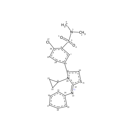 CN(C)S(=O)(=O)c1cc(-c2cs/c(=N/c3ccccc3)n2C2CC2)ccc1Cl